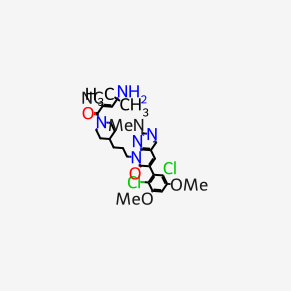 CNc1ncc2cc(-c3c(Cl)c(OC)cc(OC)c3Cl)c(=O)n(CCCC3CCN(C(=O)C(C#N)=CC(C)(C)N)CC3)c2n1